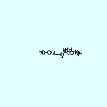 C(#Cc1cc(-c2n[nH]c3c2Cc2ccc(Cn4cncn4)cc2-3)cs1)COc1ccc(-c2ccncc2)cc1